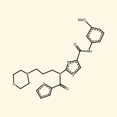 COc1cccc(NC(=O)c2csc(N(CCCN3CCOCC3)C(=O)c3cccs3)n2)c1